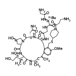 C=C1C[C@@H](C)NC(=O)C([C@@H](C)[C@@H](O)CO)NC(=O)C2C[C@@H](O)CN2C(=O)[C@H](CC(N)=O)NC(=O)[C@@H](NC(=O)CNC(=O)[C@@H](NC(=O)CN)[C@@H](C)CC)Cc2c1ccc(OC)c2CSC1CCN(C(=O)CCN)CC1